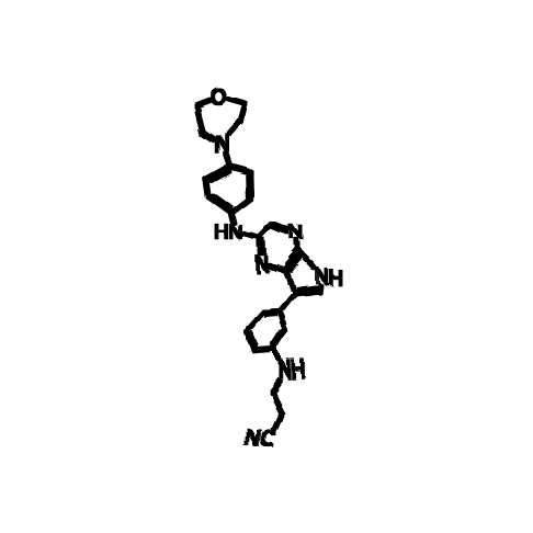 N#CCCNc1cccc(-c2c[nH]c3ncc(Nc4ccc(N5CCOCC5)cc4)nc23)c1